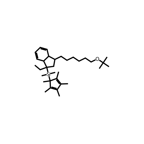 CCC1([Si](C)(C)C2(C)C(C)=C(C)C(C)=C2C)CC(CCCCCCOC(C)(C)C)C2C=CC=CC21